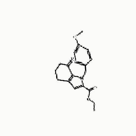 CCOC(=O)c1cc2c(n1Cc1ccc(OC)cc1)C(=O)CCC2